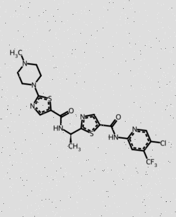 C[C@@H](NC(=O)c1cnc(N2CCN(C)CC2)s1)c1ncc(C(=O)Nc2cc(C(F)(F)F)c(Cl)cn2)s1